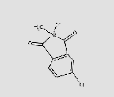 C[N+]1([S-])C(=O)c2ccc(Cl)cc2C1=O